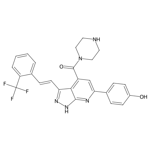 O=C(c1cc(-c2ccc(O)cc2)nc2[nH]nc(C=Cc3ccccc3C(F)(F)F)c12)N1CCNCC1